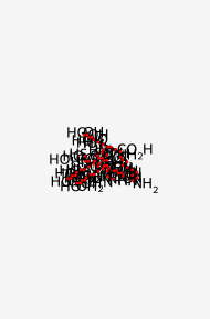 N=C(N)NCCC[C@H](NC(=O)[C@H](CCC(=O)NC[C@H](O)[C@@H](O)[C@H](O)[C@H](O)CO)CC(=O)[C@H](CCC(=O)O)NC(=O)[C@H](CCC(=O)NC[C@H](O)[C@@H](O)[C@H](O)[C@H](O)CO)CC(=O)CC[C@H](NC(=O)c1ccc(NCc2cnc3nc(N)[nH]c(=O)c3n2)cc1)C(=O)O)C(=O)C[C@@H](CCC(=O)NC[C@H](O)[C@@H](O)[C@H](O)[C@H](O)CO)C(=O)N[C@@H](CCC(=O)O)C(=O)C[C@@H](CCC(=O)NC[C@H](O)[C@@H](O)[C@H](O)[C@H](O)CO)C(=O)N[C@@H](CS)C(=O)O